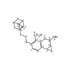 CN1C2CC1CN(CCSc1ccc3c(c1C(=O)O)OB(O)C1CC31)C2